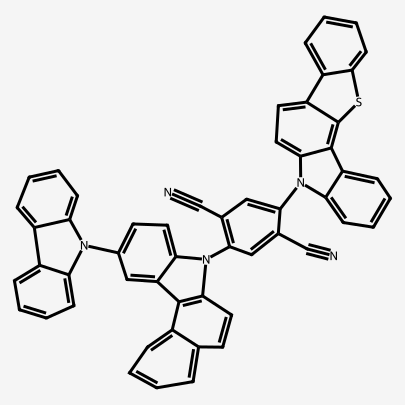 N#Cc1cc(-n2c3ccccc3c3c4sc5ccccc5c4ccc32)c(C#N)cc1-n1c2ccc(-n3c4ccccc4c4ccccc43)cc2c2c3ccccc3ccc21